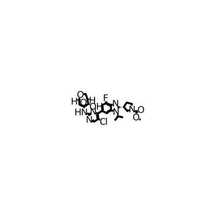 COC(=O)N1CC[C@@H](c2nc3c(F)cc(-c4nc(N[C@@H]5C[C@@H]6OC[C@@H](O6)[C@H]5O)ncc4Cl)cc3n2C(C)C)C1